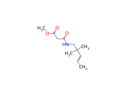 CC=CC(C)(C)CNC(=O)CC(=O)OC